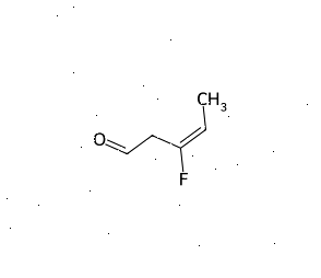 C/C=C(/F)CC=O